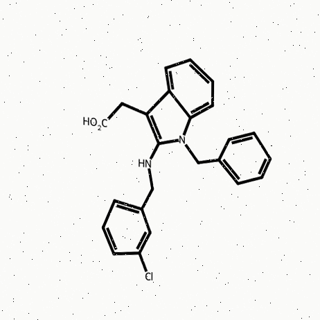 O=C(O)Cc1c(NCc2cccc(Cl)c2)n(Cc2ccccc2)c2ccccc12